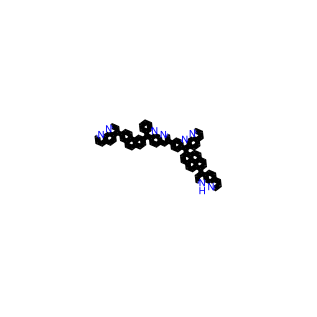 C1=CC2=C(c3c4ccc(-c5cnc6c(ccc7c(-c8ccc9ccc%10cc(-c%11ccnc%12c%11ccc%11cccnc%11%12)ccc%10c9c8)c8ccccc8nc76)c5)cc4nc4c3ccc3cccnc34)C=CC3=CC=C4C(C5=CCNc6c5ccc5cccnc65)=CC=C1C4C32